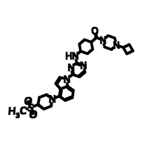 CS(=O)(=O)C1CCN(c2cccc3c2ccn3-c2ccnc(NC3CCC(C(=O)N4CCN(C5CCC5)CC4)CC3)n2)CC1